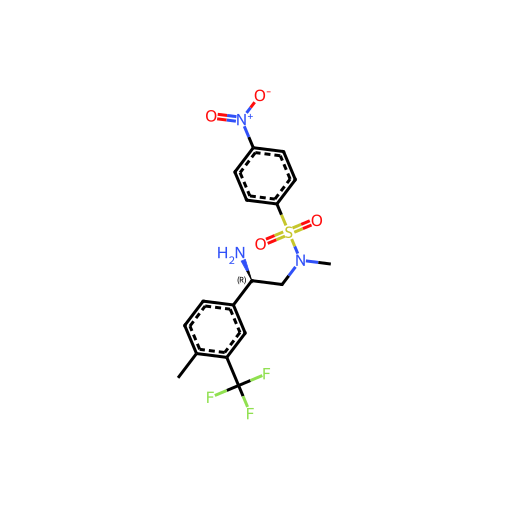 Cc1ccc([C@@H](N)CN(C)S(=O)(=O)c2ccc([N+](=O)[O-])cc2)cc1C(F)(F)F